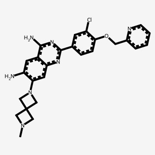 CN1CC2(C1)CN(c1cc3nc(-c4ccc(OCc5ccccn5)c(Cl)c4)nc(N)c3cc1N)C2